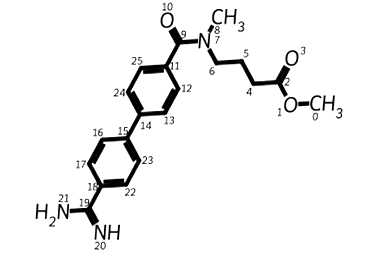 COC(=O)CCCN(C)C(=O)c1ccc(-c2ccc(C(=N)N)cc2)cc1